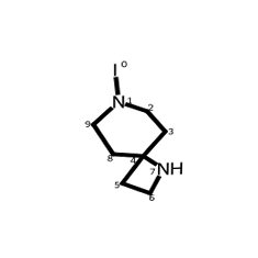 IN1CCC2(CCN2)CC1